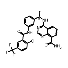 C[C@@H](Nc1ncnc2c(C(N)=O)cccc12)c1cccc(NC(=O)c2cc(C(F)(F)F)ccc2Cl)c1